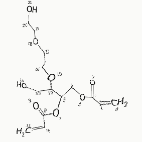 C=CC(=O)OCC(OC(=O)C=C)C(CO)OCCOCCO